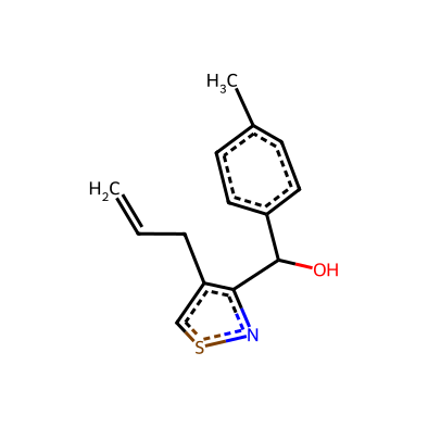 C=CCc1csnc1C(O)c1ccc(C)cc1